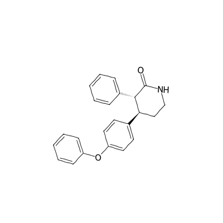 O=C1NCC[C@@H](c2ccc(Oc3ccccc3)cc2)[C@@H]1c1ccccc1